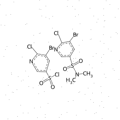 CN(C)S(=O)(=O)c1cnc(Cl)c(Br)c1.O=S(=O)(Cl)c1cnc(Cl)c(Br)c1